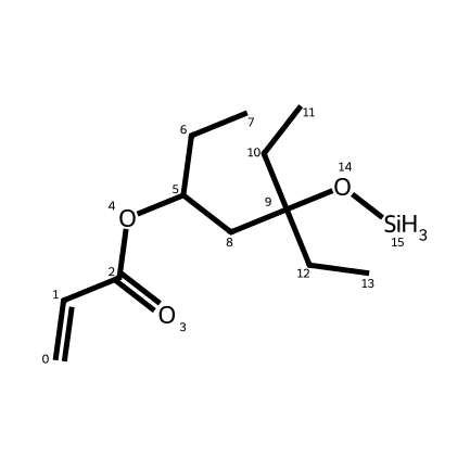 C=CC(=O)OC(CC)CC(CC)(CC)O[SiH3]